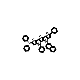 c1ccc(-c2cc3c(s2)c2sc4c5sc(N(c6ccccc6)c6ccccc6)cc5n(-c5ccccc5)c4c2n3-c2ccc3ccccc3c2)cc1